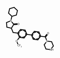 O=C(c1ccc(-c2ccc(CC3CCN(C4CCCCC4)C3=O)c(OC(F)(F)F)c2)cc1)N1CCNCC1